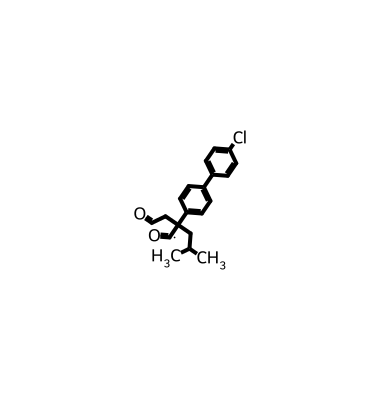 CC(C)CC([C]=O)(CC=O)c1ccc(-c2ccc(Cl)cc2)cc1